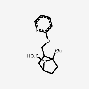 CC(C)(C)C12CCC(CC1COc1ccccn1)N2C(=O)O